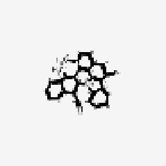 Cc1c2ccccc2c(C#N)c2c1c1c3c(cc[n+]1C)cc(F)c1c4ccccc4n2c13